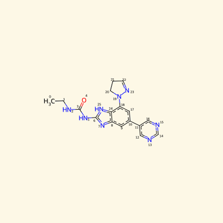 CCNC(=O)Nc1nc2cc(-c3cncnc3)cc(N3CCC=N3)c2[nH]1